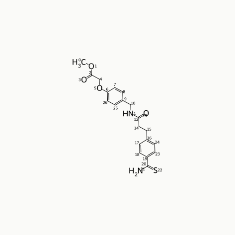 COC(=O)COc1ccc(CNC(=O)CCc2ccc(C(N)=S)cc2)cc1